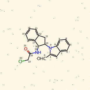 O=[C]c1cc2ccccc2n1C1Cc2ccccc2C1NC(=O)CCl